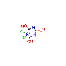 OC1=NC(O)[N+](Cl)(Cl)C(O)=N1